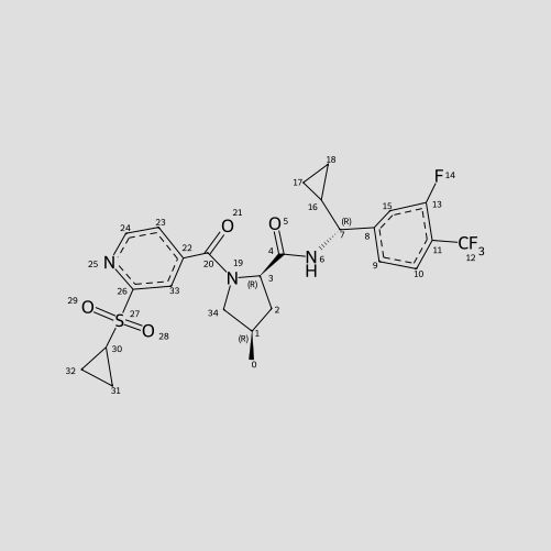 C[C@@H]1C[C@H](C(=O)N[C@@H](c2ccc(C(F)(F)F)c(F)c2)C2CC2)N(C(=O)c2ccnc(S(=O)(=O)C3CC3)c2)C1